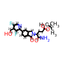 CC(C)(C)OC(=O)CCC(C(N)=O)N1Cc2cc(-c3ncc(F)c(CO)c3F)ccc2C1=O